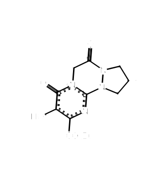 CCOC(=O)c1nc2n(c(=O)c1O)CC(=O)N1CCCN21